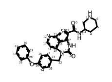 O=C(NC1CCCNC1)c1sc2nccc3c2c1NC(=O)N3Cc1ccc(Oc2ccccc2)cc1